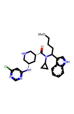 COCCCC(c1c[nH]c2ccccc12)N(C(=O)[C@H]1CNC[C@@H](Nc2cc(Cl)ncn2)C1)C1CC1